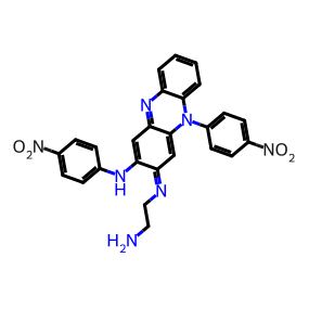 NCC/N=c1/cc2n(-c3ccc([N+](=O)[O-])cc3)c3ccccc3nc-2cc1Nc1ccc([N+](=O)[O-])cc1